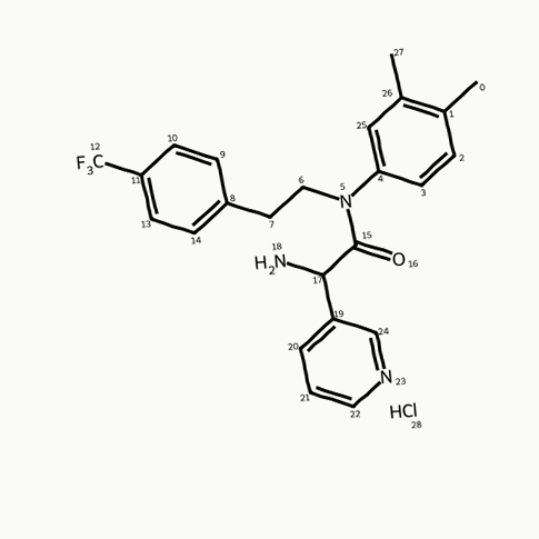 Cc1ccc(N(CCc2ccc(C(F)(F)F)cc2)C(=O)C(N)c2cccnc2)cc1C.Cl